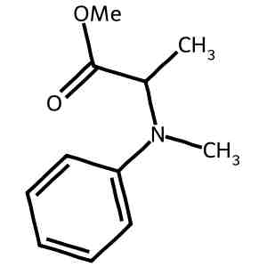 COC(=O)C(C)N(C)c1ccccc1